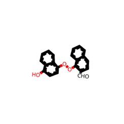 O=Cc1ccc2ccccc2c1OOc1ccc(O)c2ccccc12